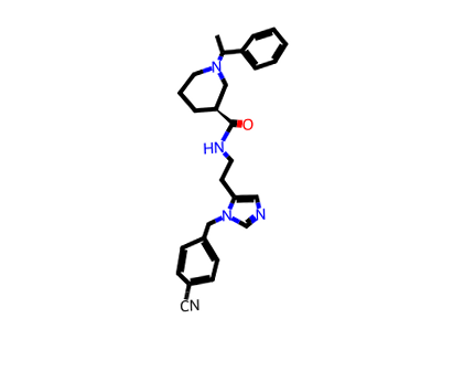 CC(c1ccccc1)N1CCC[C@H](C(=O)NCCc2cncn2Cc2ccc(C#N)cc2)C1